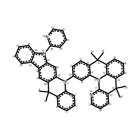 CC1(C)c2ccccc2N(c2ccc3c(c2)N2c4ncccc4C(C)(C)c4cccc(c42)C3(C)C)c2cc3c(cc21)c1ccccc1n3-c1ccccn1